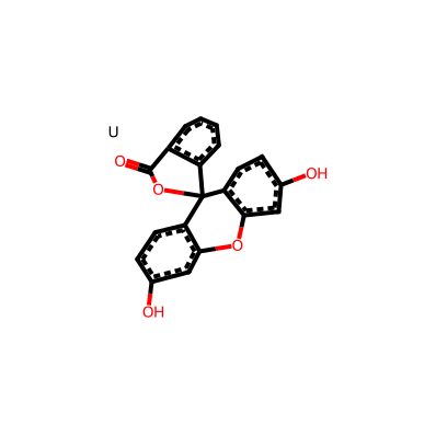 O=C1OC2(c3ccc(O)cc3Oc3cc(O)ccc32)c2ccccc21.[U]